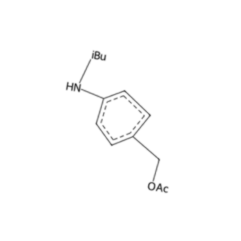 CCC(C)Nc1ccc(COC(C)=O)cc1